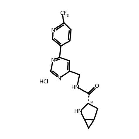 Cl.O=C(NCc1cc(-c2ccc(C(F)(F)F)nc2)ncn1)[C@@H]1CC2CC2N1